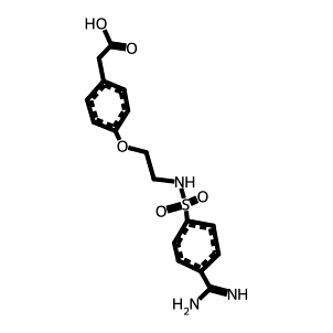 N=C(N)c1ccc(S(=O)(=O)NCCOc2ccc(CC(=O)O)cc2)cc1